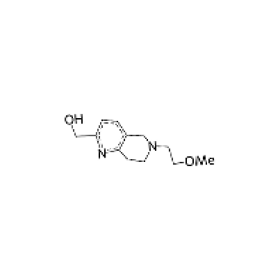 COCCN1CCc2nc(CO)ccc2C1